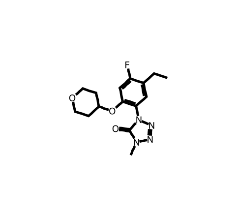 CCc1cc(-n2nnn(C)c2=O)c(OC2CCOCC2)cc1F